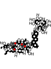 CC[C@H]1O[C@@H](O[C@@H](C[C@H](O)CC(=O)N[C@@H](C[C@H](O)CC(=O)N[C@H]2C(CO)O[C@@H](OC(=O)[C@]34CCC(C)(C)CC3C3=CCC5C6(C)CC[C@H](O[C@@H]7OC(C(=O)O)[C@@H](O)[C@H](O[C@@H]8OC[C@@H](O)[C@H](O)C8O)C7O[C@@H]7OC(CO)[C@H](O)[C@H](O)C7O)[C@](C)(C=O)[C@@H]6CC[C@]5(C)[C@]3(C)CC4O)C(O[C@@H]3OC(C)[C@H](O[C@@H]4OC[C@@H](O)C(O[C@@H]5OCC(O)(CO)[C@@H]5O)C4O)C(O)C3O)C2O)[C@@H](C)CC)[C@@H](C)CC)C(O)C1O